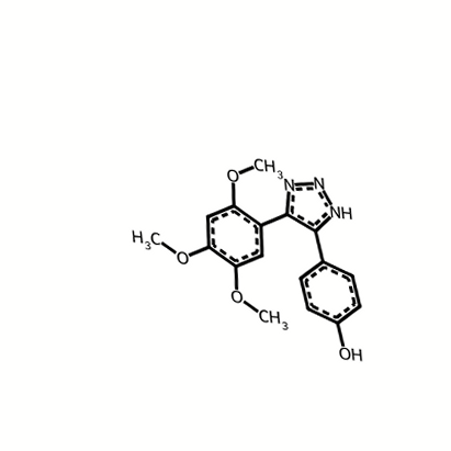 COc1cc(OC)c(-c2nn[nH]c2-c2ccc(O)cc2)cc1OC